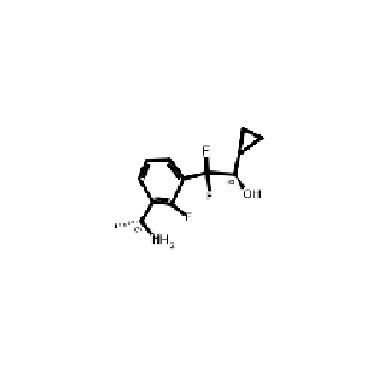 C[C@@H](N)c1cccc(C(F)(F)[C@H](O)C2CC2)c1F